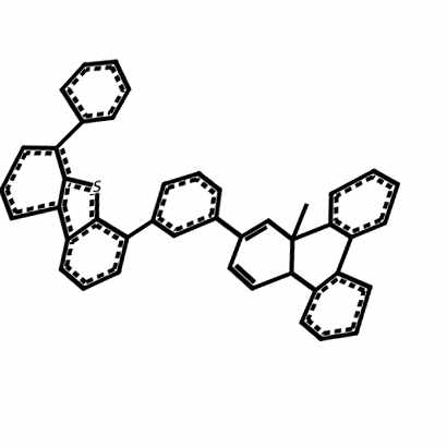 CC12C=C(c3cccc(-c4cccc5c4sc4c(-c6ccccc6)cccc45)c3)C=CC1c1ccccc1-c1ccccc12